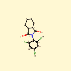 O=C1C2CCCCC2C(=O)N1c1c(F)cc(F)cc1F